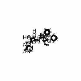 CC[C@H](NP(=O)(Oc1ccccc1)O[C@@H](C)[C@H]1O[C@@H](n2cnc3c(C)ncnc32)[C@H](O)[C@@H]1O)C(=O)OC1CCCCC1